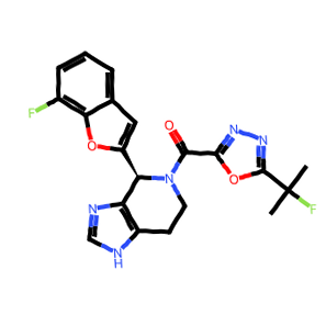 CC(C)(F)c1nnc(C(=O)N2CCc3[nH]cnc3[C@H]2c2cc3cccc(F)c3o2)o1